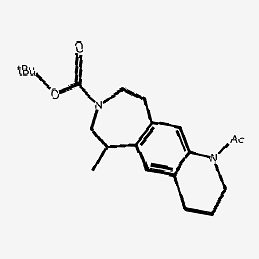 CC(=O)N1CCCc2cc3c(cc21)CCN(C(=O)OC(C)(C)C)CC3C